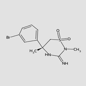 CN1C(=N)N[C@](C)(c2cccc(Br)c2)CS1(=O)=O